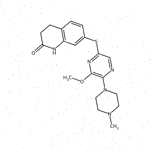 COc1nc(Sc2ccc3c(c2)NC(=O)CC3)cnc1N1CCN(C)CC1